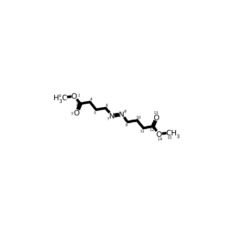 COC(=O)CCCN=NCCCC(=O)OC